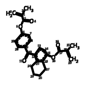 C=C(C)C(=O)Oc1ccc(C(=O)c2ccc(OC(=O)C(=C)C)c3c2CCCC3)cc1